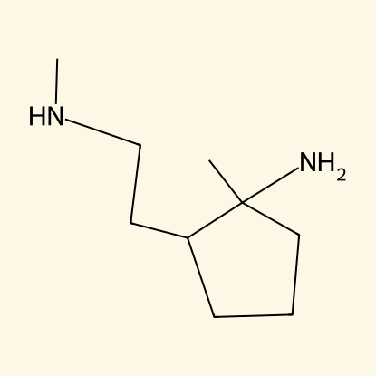 CNCCC1CCCC1(C)N